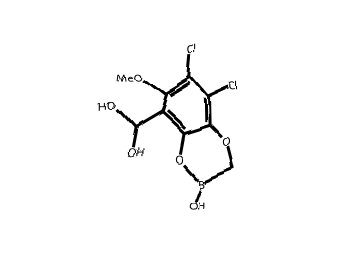 COc1c(Cl)c(Cl)c2c(c1C(O)O)OB(O)CO2